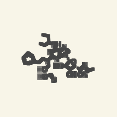 CCC(CC)Nc1nc(N(CO)CCc2ccccc2)nc2c1ncn2[C@@H]1O[C@H](c2nc(C)no2)[C@@H](O)[C@H]1O.O=CO